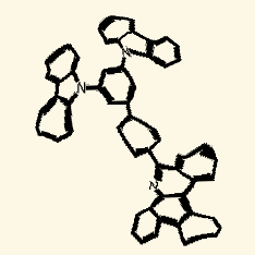 c1ccc2c(c1)c(-c1ccc(-c3cc(-n4c5ccccc5c5ccccc54)cc(-n4c5ccccc5c5ccccc54)c3)cc1)nc1c3ccccc3c3ccccc3c21